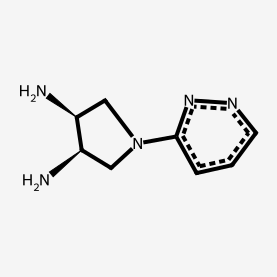 N[C@@H]1CN(c2cccnn2)C[C@@H]1N